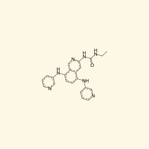 CCNC(=O)Nc1cc2c(Nc3cccnc3)ccc(Nc3cccnc3)c2cn1